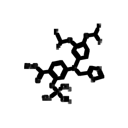 COC(=O)c1ccc(N(Cc2cncs2)c2ccc(OC(F)F)c(OC(F)F)c2)cc1O[Si](C)(C)C(C)(C)C